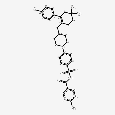 Cc1ncc(C(=O)NS(=O)(=O)c2ccc(N3CCN(CC4=C(c5ccc(Cl)cc5)CC(C)(C)CC4)CC3)cc2)cn1